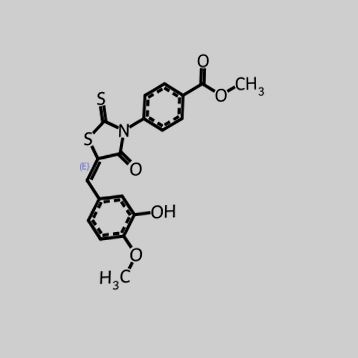 COC(=O)c1ccc(N2C(=O)/C(=C\c3ccc(OC)c(O)c3)SC2=S)cc1